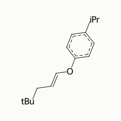 CC(C)c1ccc(O/C=C/CC(C)(C)C)cc1